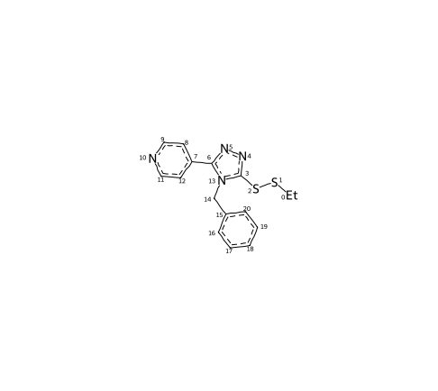 CCSSc1nnc(-c2ccncc2)n1Cc1ccccc1